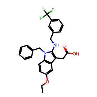 CCOc1ccc2c(c1)c(CC(=O)O)c(NCc1cccc(C(F)(F)F)c1)n2Cc1ccccc1